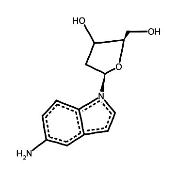 Nc1ccc2c(ccn2[C@H]2CC(O)[C@@H](CO)O2)c1